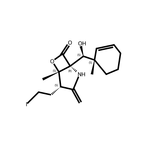 C=C1N[C@@]2([C@@H](O)[C@]3(C)C=CCCC3)C(=O)O[C@@]2(C)[C@H]1CCI